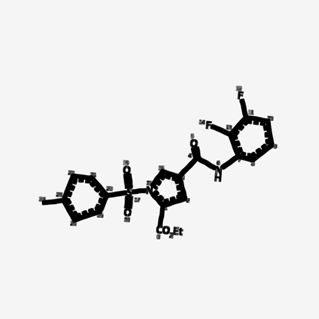 CCOC(=O)c1cc(C(=O)Nc2cccc(F)c2F)cn1S(=O)(=O)c1ccc(C)cc1